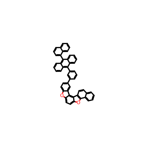 c1cc(-c2ccc3oc4ccc5oc6c7ccccc7ccc6c5c4c3c2)cc(-c2c3ccccc3c(-c3cccc4ccccc34)c3ccccc23)c1